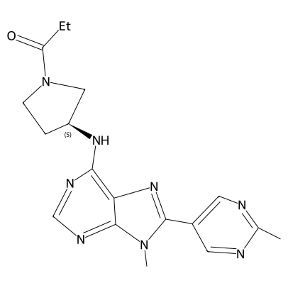 CCC(=O)N1CC[C@H](Nc2ncnc3c2nc(-c2cnc(C)nc2)n3C)C1